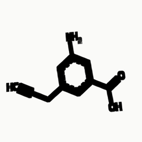 C#CCc1cc(N)cc(C(=O)O)c1